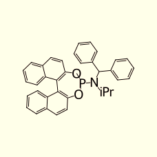 CC(C)N(C(c1ccccc1)c1ccccc1)p1oc2ccc3ccccc3c2c2c(ccc3ccccc32)o1